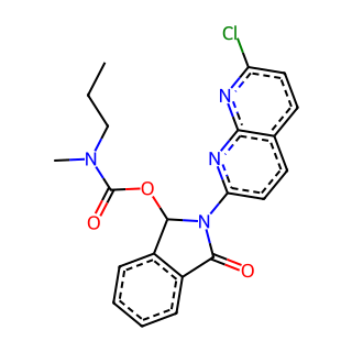 CCCN(C)C(=O)OC1c2ccccc2C(=O)N1c1ccc2ccc(Cl)nc2n1